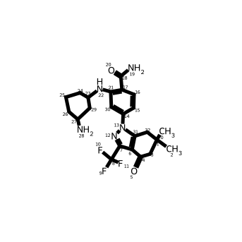 CC1(C)CC(=O)c2c(C(F)(F)F)nn(-c3ccc(C(N)=O)c(NC4CCCC(N)C4)c3)c2C1